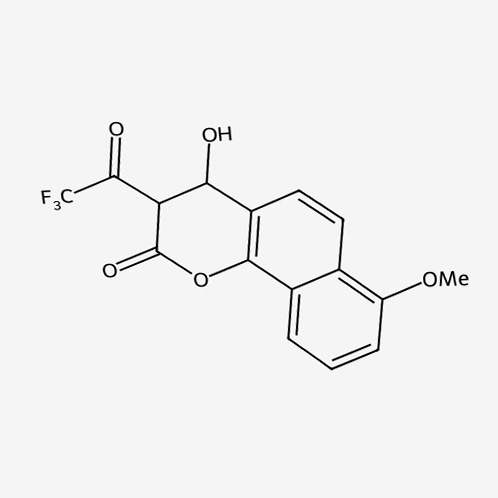 COc1cccc2c3c(ccc12)C(O)C(C(=O)C(F)(F)F)C(=O)O3